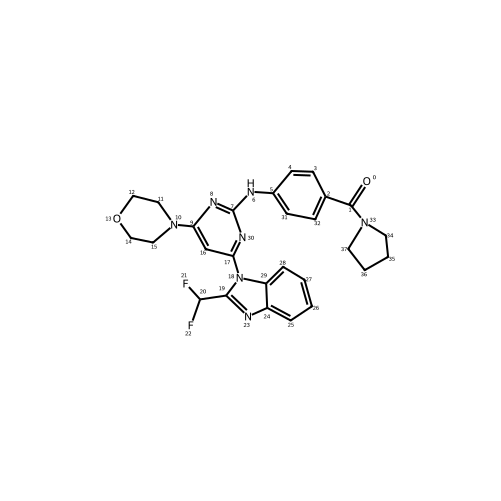 O=C(c1ccc(Nc2nc(N3CCOCC3)cc(-n3c(C(F)F)nc4ccccc43)n2)cc1)N1CCCC1